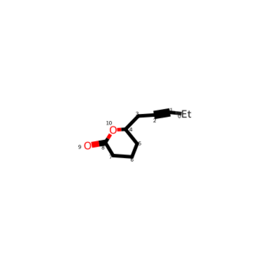 CCC#CCC1CCCC(=O)O1